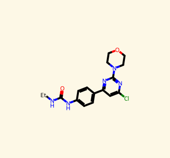 CCNC(=O)Nc1ccc(-c2cc(Cl)nc(N3CCOCC3)n2)cc1